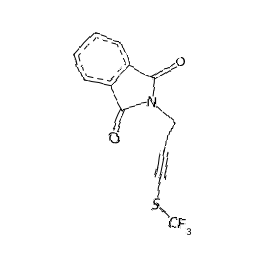 O=C1c2ccccc2C(=O)N1CC#CSC(F)(F)F